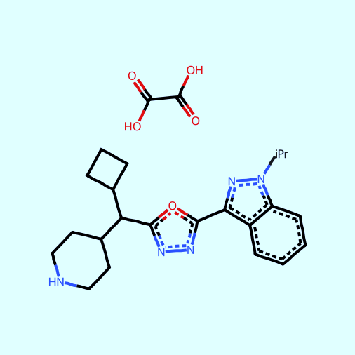 CC(C)n1nc(-c2nnc(C(C3CCC3)C3CCNCC3)o2)c2ccccc21.O=C(O)C(=O)O